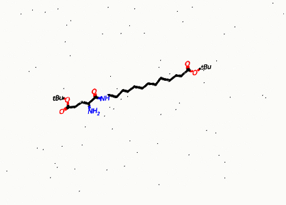 CC(C)(C)OC(=O)CCCCCCCCCCCCNC(=O)C(N)CCC(=O)OC(C)(C)C